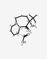 CC(C)(C)[C@@]1(N)CCCN2CCC[C@@H](C(=O)O)N2C1=O